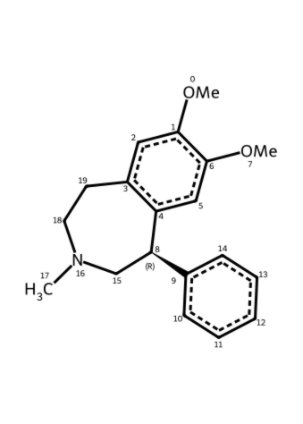 COc1cc2c(cc1OC)[C@@H](c1ccccc1)CN(C)CC2